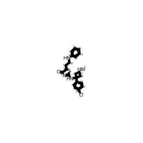 Br.O=C1N=C(NC2(c3ccc(Cl)cc3)CCC2)SC1CCNc1ccccc1